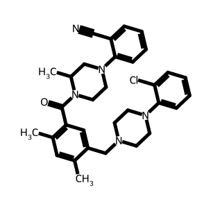 Cc1cc(C)c(C(=O)N2CCN(c3ccccc3C#N)CC2C)cc1CN1CCN(c2ccccc2Cl)CC1